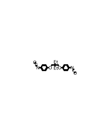 CCC(CC)(COc1ccc(N=C=O)cc1)COc1ccc(N=C=O)cc1